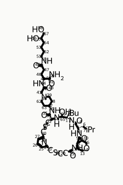 CC[C@H](C)[C@@H]1NC(=O)[C@H](CC(C)C)NC(=O)C2(CCOCC2)NC(=O)CCSCc2cccc(n2)CSC[C@@H](C(=O)NC2CCN(CC(=O)NC(CCC(=O)NCCCC[C@H](O)CO)C(N)=O)CC2)NC1O